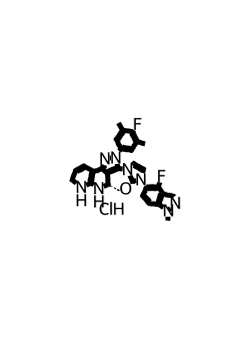 Cc1cc(-n2nc3c(c2-n2ccn(-c4ccc5c(cnn5C)c4F)c2=O)[C@H](C)NC2=C3C=CCN2)cc(C)c1F.Cl